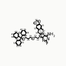 Nc1nc(F)nc2c1nc(Cc1cc3c(cc1I)OCO3)n2CCOCCCOC(c1ccccc1)(c1ccccc1)c1ccccc1